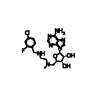 CN(CCNCc1ccc(Cl)cc1F)C[C@H]1O[C@@H](n2cnc3c(N)ncnc32)[C@H](O)[C@@H]1O